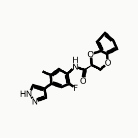 Cc1cc(NC(=O)[C@@H]2COc3ccccc3O2)c(F)cc1-c1cn[nH]c1